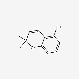 CC1(C)C=Cc2c(O)cccc2O1